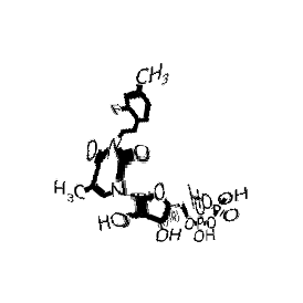 Cc1ccc(CCn2c(=O)c(C)cn([C@@H]3O[C@H](COP(=O)(O)OP(=O)(O)O)[C@H](O)C3O)c2=O)c(F)c1